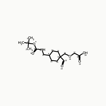 CC(C)(C)OC(=O)NCC1CCC(C=O)(COCC(=O)O)CC1